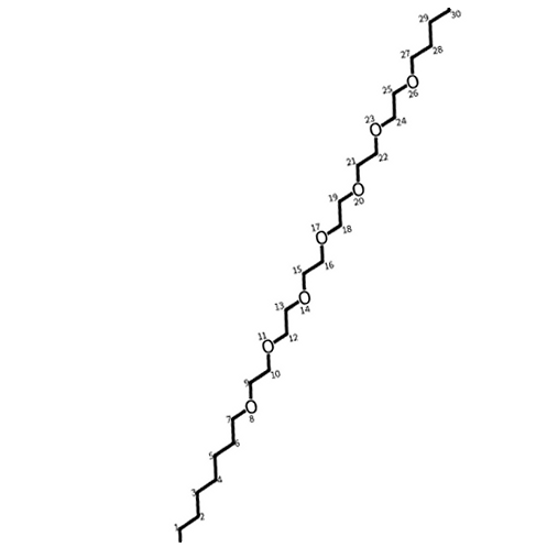 CCCCCCCCOCCOCCOCCOCCOCCOCCOCCCCCCC